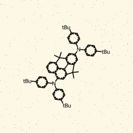 CC(C)(C)c1ccc(N(c2ccc(C(C)(C)C)cc2)c2cc3c4c(c2)C(C)(C)c2cccc5c(N(c6ccc(C(C)(C)C)cc6)c6ccc(C(C)(C)C)cc6)cc(c-4c25)C3(C)C)cc1